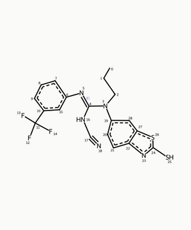 CCCN(/C(=N/c1cccc(C(F)(F)F)c1)NC#N)c1ccc2nc(S)sc2c1